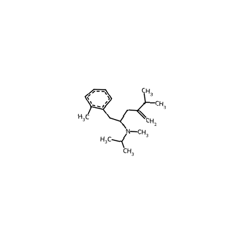 C=C(CC(Cc1ccccc1C)N(C)C(C)C)C(C)C